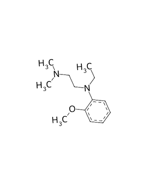 CCN(CCN(C)C)c1ccccc1OC